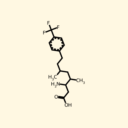 CC(CCc1ccc(C(F)(F)F)cc1)CC(C)C(N)CC(=O)O